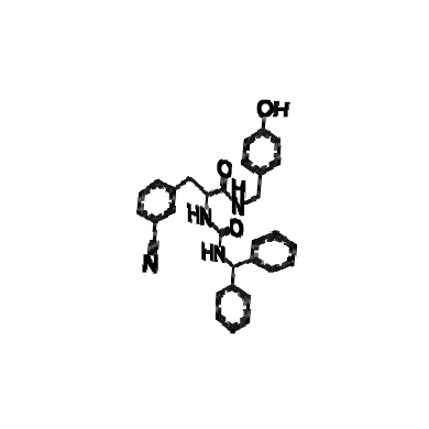 N#Cc1cccc(CC(NC(=O)NC(c2ccccc2)c2ccccc2)C(=O)NCc2ccc(O)cc2)c1